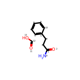 NC(=O)CCc1ccccc1.O=CO